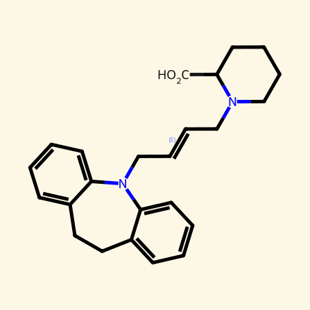 O=C(O)C1CCCCN1C/C=C/CN1c2ccccc2CCc2ccccc21